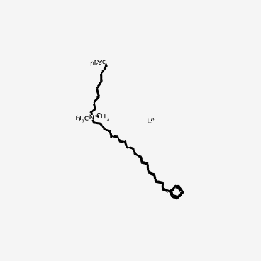 CCCCCCCCCCCCCCCCCC[N+](C)(C)CCCCCCCCCCCCCCCCCCCc1ccccc1.[Li+]